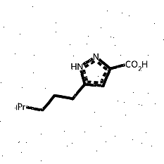 CC(C)CCCc1cc(C(=O)O)n[nH]1